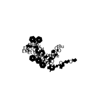 C=CCOC/C=C/[C@H]1CC(=C)[C@H](CC[C@H]2C[C@@H](C)C(=C)[C@@H](C[C@@H]3O[C@H](C[C@H]4CN(C(=O)OC(C)(C)C)C(C)(C)O4)[C@H](OC)[C@H]3[C@@H](C(O)C[C@H]3CC[C@@H]4O[C@@H]5[C@@H](O[C@H](CC(C=C)O[Si](CC)(CC)CC)[C@@H]5O[Si](c5ccccc5)(c5ccccc5)C(C)(C)C)[C@@H](O[Si](c5ccccc5)(c5ccccc5)C(C)(C)C)[C@H]4O3)S(=O)(=O)c3ccccc3)O2)O1